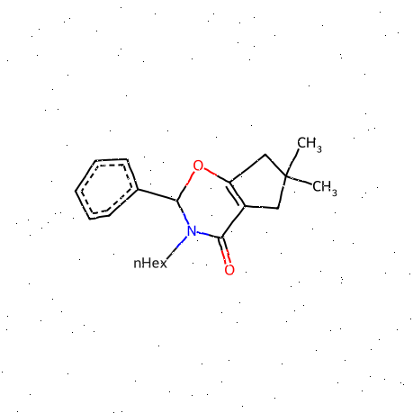 CCCCCCN1C(=O)C2=C(CC(C)(C)C2)OC1c1ccccc1